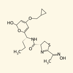 CCC[C@@H](NC(=O)[C@@H]1CSC(/C(C)=N/O)=N1)C1=CC(OCC2CC2)=CC(O)O1